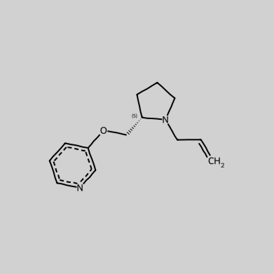 C=CCN1CCC[C@H]1COc1cccnc1